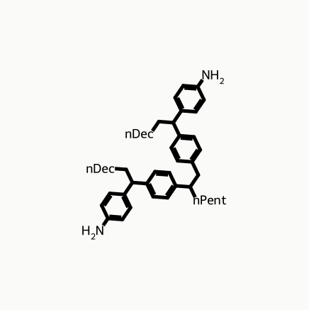 CCCCCCCCCCCC(c1ccc(N)cc1)c1ccc(CC(CCCCC)c2ccc(C(CCCCCCCCCCC)c3ccc(N)cc3)cc2)cc1